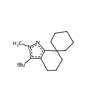 Cn1nc2c(c1C(C)(C)C)CCCC21CCCCC1